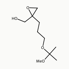 COC(C)(C)OCCCC1(CO)CO1